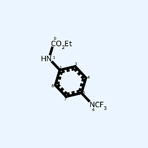 CCOC(=O)Nc1ccc(NC(F)(F)F)cc1